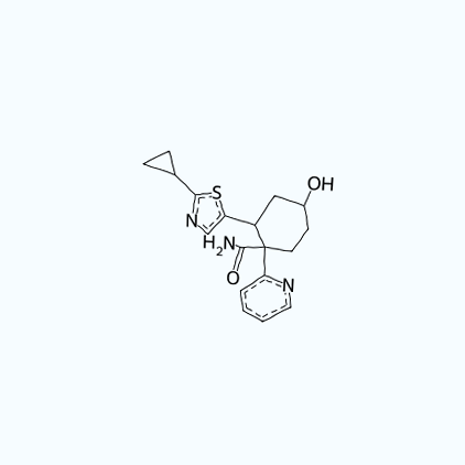 NC(=O)C1(c2ccccn2)CCC(O)CC1c1cnc(C2CC2)s1